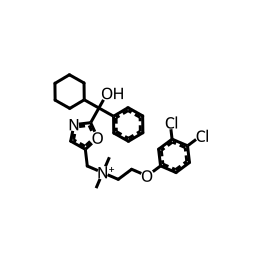 C[N+](C)(CCOc1ccc(Cl)c(Cl)c1)Cc1cnc(C(O)(c2ccccc2)C2CCCCC2)o1